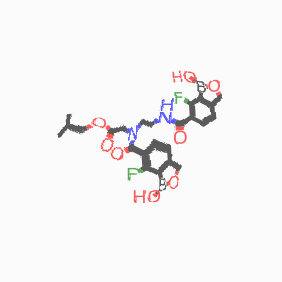 CC(C)COC(=O)CN(CCNC(=O)c1ccc2c(c1F)B(O)OC2)C(=O)c1ccc2c(c1F)B(O)OC2